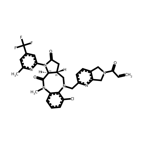 C=CC(=O)N1Cc2ccc(CN3C[C@H]4CC(=O)N(c5cc(C(F)(F)F)cc(C)n5)[C@@H]4C(=O)N(C)c4cccc(Cl)c43)nc2C1